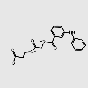 O=C(O)CCNC(=O)CNC(=O)c1cccc(Nc2ccccn2)c1